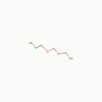 SCCOCOCS